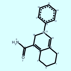 NC(=O)C1=C2CCCCC2=CN(c2ccccc2)C1